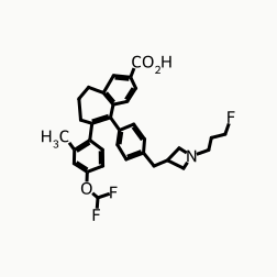 Cc1cc(OC(F)F)ccc1C1=C(c2ccc(CC3CN(CCCF)C3)cc2)c2ccc(C(=O)O)cc2CCC1